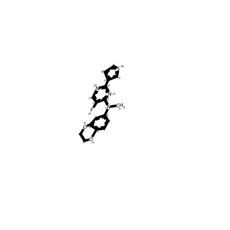 CN(c1ccc2c(c1)OCCO2)c1nc(-c2ccsc2)ncc1F